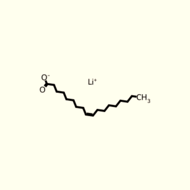 CCCCCCCC/C=C\CCCCCCCC(=O)[O-].[Li+]